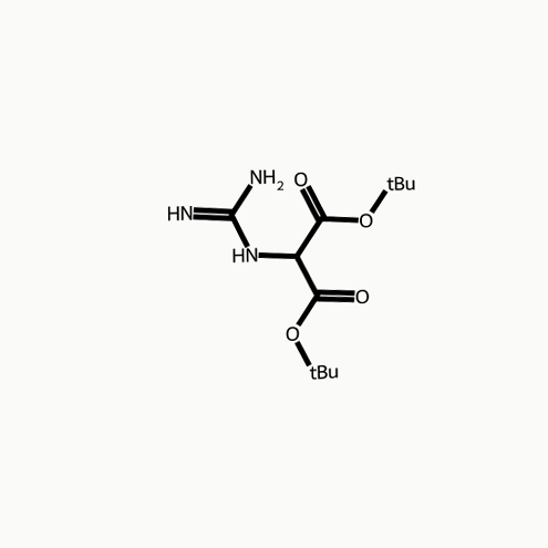 CC(C)(C)OC(=O)[C](NC(=N)N)C(=O)OC(C)(C)C